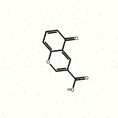 O=C(O)c1coc2cccc(=O)c-2c1